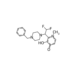 Cn1ccc(=O)c(O)c1C(C(F)F)N1CCN(Cc2ccccc2)CC1